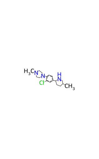 CC1CCC(c2ccc(N3CCN(C)CC3)c(Cl)c2)NC1